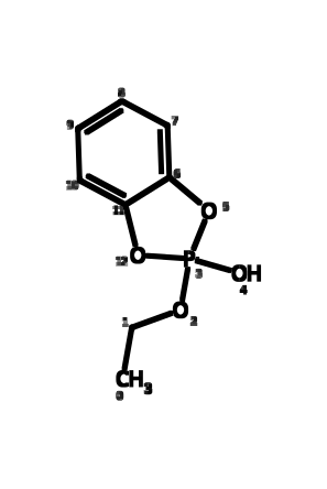 CCO[P]1(O)Oc2ccccc2O1